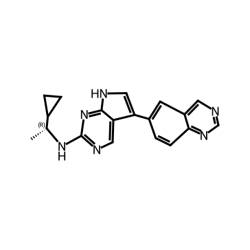 C[C@@H](Nc1ncc2c(-c3ccc4ncncc4c3)c[nH]c2n1)C1CC1